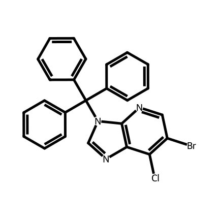 Clc1c(Br)cnc2c1ncn2C(c1ccccc1)(c1ccccc1)c1ccccc1